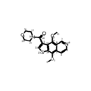 COc1c2ccncc2c(OC)c2c(C(=O)N3CCOCC3)csc12